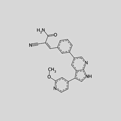 COc1cc(-c2c[nH]c3ncc(-c4cccc(C=C(C#N)C(N)=O)c4)cc23)ccn1